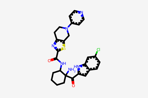 NC1(C(=O)c2cc3ccc(Cl)cc3[nH]2)CCCCC1NC(=O)c1nc2c(s1)CN(c1ccncc1)CC2